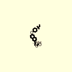 CCC(C)(C)[C@H]1CC[C@H](Oc2ccc3cc([C@]4(C)COC(=O)N4)ccc3c2)CC1